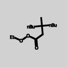 CCCCC(C)(CCCC)CC(=O)OOCC